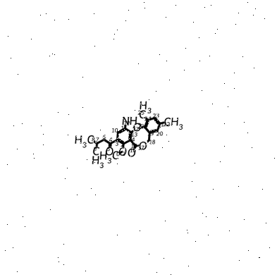 COc1c(C(=O)CC(C)C)cc(N)c2c1C(=O)OCc1cc(C)cc(C)c1O2